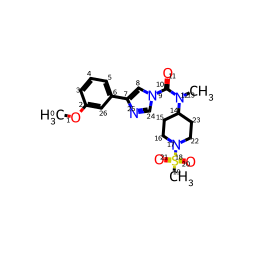 COc1cccc(-c2cn(C(=O)N(C)C3CCN(S(C)(=O)=O)CC3)cn2)c1